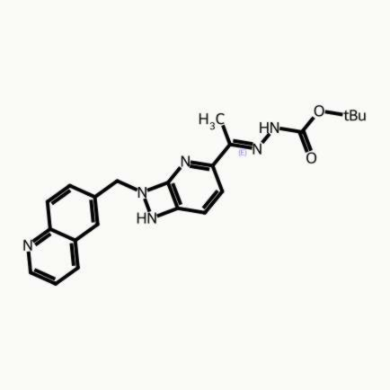 C/C(=N\NC(=O)OC(C)(C)C)c1ccc2[nH]n(Cc3ccc4ncccc4c3)c2n1